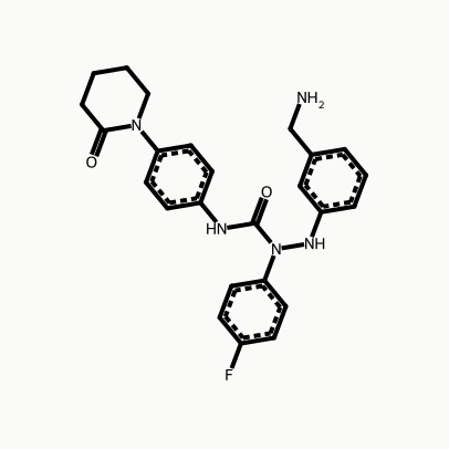 NCc1cccc(NN(C(=O)Nc2ccc(N3CCCCC3=O)cc2)c2ccc(F)cc2)c1